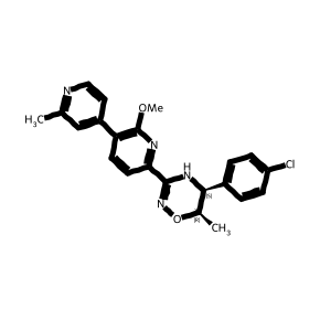 COc1nc(C2=NO[C@H](C)[C@H](c3ccc(Cl)cc3)N2)ccc1-c1ccnc(C)c1